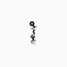 COC(=O)c1cn(CCCNC(=O)c2ccccc2)nn1